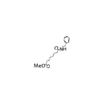 COC(=O)CCCCCCC(=O)NCCc1ccccc1